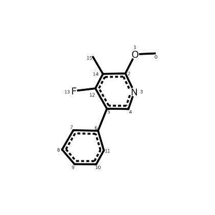 COc1ncc(-c2ccccc2)c(F)c1C